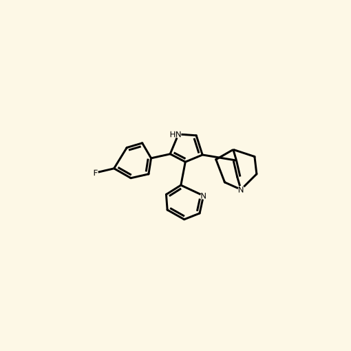 Fc1ccc(-c2[nH]cc(C3=CN4CCC3CC4)c2-c2ccccn2)cc1